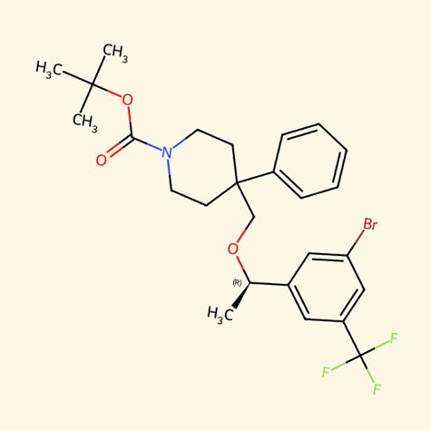 C[C@@H](OCC1(c2ccccc2)CCN(C(=O)OC(C)(C)C)CC1)c1cc(Br)cc(C(F)(F)F)c1